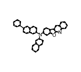 c1ccc(-c2ccc3cc(N(c4ccc5ccccc5c4)c4ccc5c(c4)oc4nc6ccccc6cc45)ccc3c2)cc1